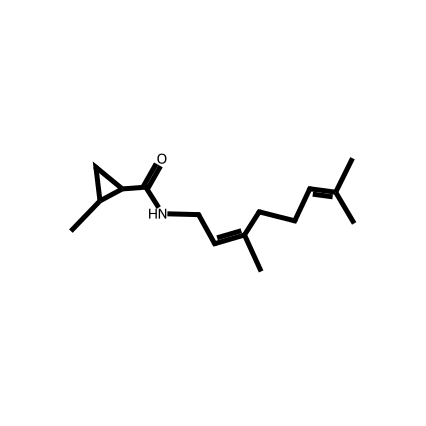 CC(C)=CCC/C(C)=C\CNC(=O)C1CC1C